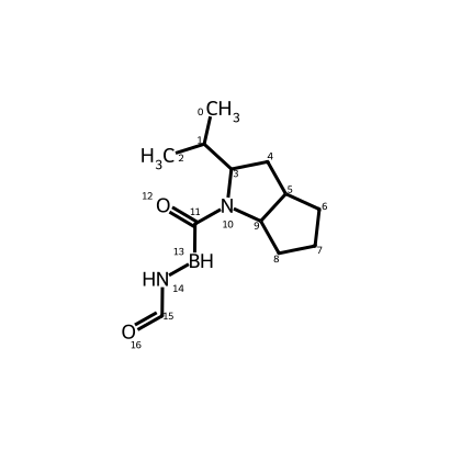 CC(C)C1CC2CCCC2N1C(=O)BNC=O